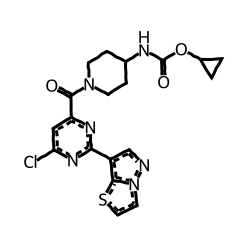 O=C(NC1CCN(C(=O)c2cc(Cl)nc(-c3cnn4ccsc34)n2)CC1)OC1CC1